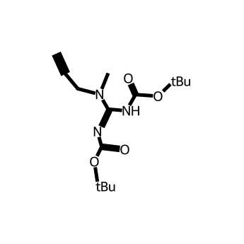 C#CCN(C)/C(=N/C(=O)OC(C)(C)C)NC(=O)OC(C)(C)C